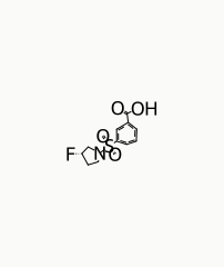 O=C(O)c1cccc(S(=O)(=O)N2CC[C@H](F)C2)c1